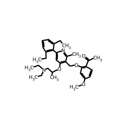 CCc1cccc(CC)c1-c1cc(OC(C)CN(CC)CC)c(COc2cc(OC)ccc2C(C)=O)c(C)n1